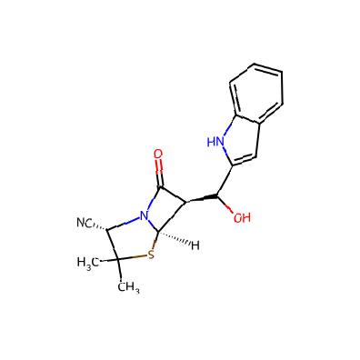 CC1(C)S[C@@H]2[C@H](C(O)c3cc4ccccc4[nH]3)C(=O)N2[C@H]1C#N